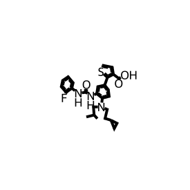 CC(C)CN(CCC1CC1)c1ccc(-c2sccc2C(=O)O)cc1NC(=O)Nc1ccccc1F